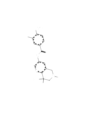 COc1ccc(C(=O)Nc2cnc3c(c2)CN(C)CC3(C)C)cc1Br